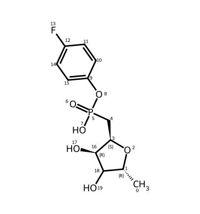 C[C@H]1O[C@H](CP(=O)(O)Oc2ccc(F)cc2)[C@H](O)C1O